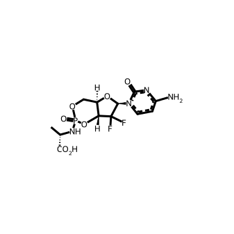 C[C@H](NP1(=O)OC[C@H]2O[C@@H](n3ccc(N)nc3=O)C(F)(F)[C@@H]2O1)C(=O)O